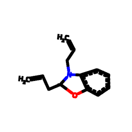 C=CC[C]1Oc2ccccc2N1CC=C